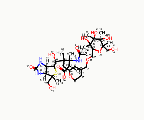 CC(=O)NC(C)([C@@H](C)C(=O)O)C(C)(CC1CC(COC[C@]2(C)OC(C)(CO)[C@](C)(O)C(C)(O)C2(C)O)CCO1)[C@H](O)C1SC(C)(CO)[C@@H]2NC(=O)N[C@H]12